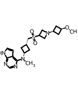 CO[C@H]1C[C@@H](N2CC(S(=O)(=O)C[C@H]3C[C@@H](N(C)c4ncnc5[nH]ccc45)C3)C2)C1